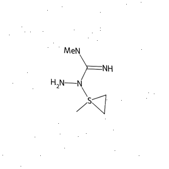 CNC(=N)N(N)S1(C)CC1